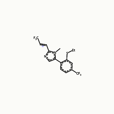 CCSc1cc(C(F)(F)F)ccc1-c1cnc(/C=C/C(F)(F)F)n1C